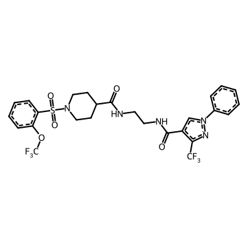 O=C(NCCNC(=O)C1CCN(S(=O)(=O)c2ccccc2OC(F)(F)F)CC1)c1cn(-c2ccccc2)nc1C(F)(F)F